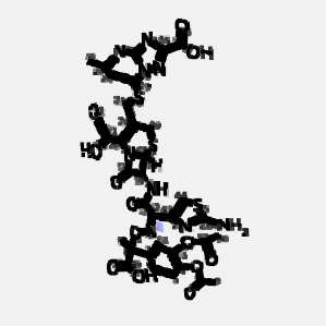 CC(=O)Oc1ccc(C(C)(O/N=C(\C(=O)N[C@@H]2C(=O)N3C(C(=O)O)=C(CSc4cc(C)nc5nc(C(=O)O)nn45)CS[C@H]23)c2csc(N)n2)C(=O)O)cc1OC(C)=O